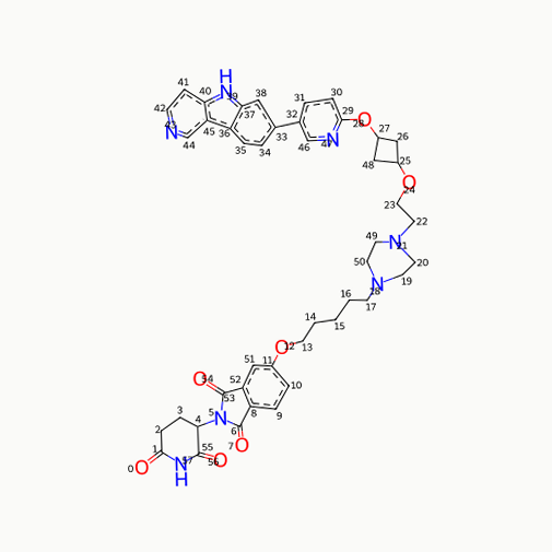 O=C1CCC(N2C(=O)c3ccc(OCCCCCN4CCN(CCOC5CC(Oc6ccc(-c7ccc8c(c7)[nH]c7ccncc78)cn6)C5)CC4)cc3C2=O)C(=O)N1